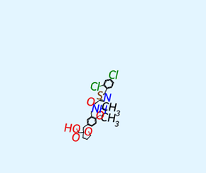 COc1ccc(CC2(C(=O)O)CCCO2)cc1CNC(=O)c1sc(-c2ccc(Cl)cc2Cl)nc1C